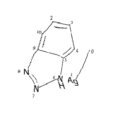 [CH3][Ag].c1ccc2[nH]nnc2c1